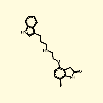 O=C1Cc2c(OCCNCCCc3c[nH]c4ccccc34)ccc(F)c2N1